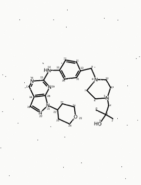 CC(C)(O)CN1CCN(Cc2ccc(Nc3ncc4cnn(C5CCOCC5)c4n3)cc2)CC1